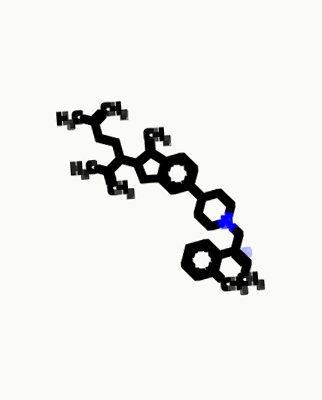 C=C(C)CCC(C(=C)C)C1Cc2cc(C3CCN(C/C(=C/C)c4ccccc4C)CC3)ccc2C1=C